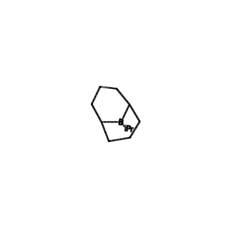 CC(C)B1C2CCCC1CCC2